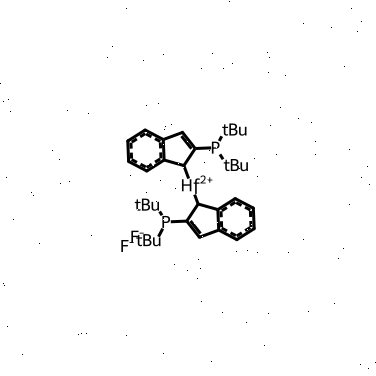 CC(C)(C)P(C1=Cc2ccccc2[CH]1[Hf+2][CH]1C(P(C(C)(C)C)C(C)(C)C)=Cc2ccccc21)C(C)(C)C.[F-].[F-]